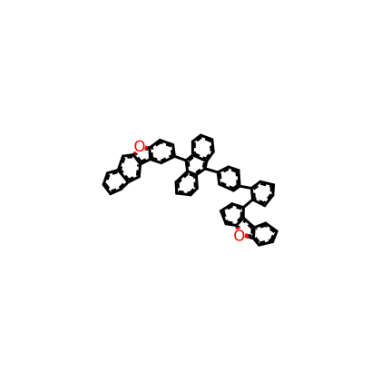 c1ccc(-c2cccc3oc4ccccc4c23)c(-c2ccc(-c3c4ccccc4c(-c4ccc5oc6cc7ccccc7cc6c5c4)c4ccccc34)cc2)c1